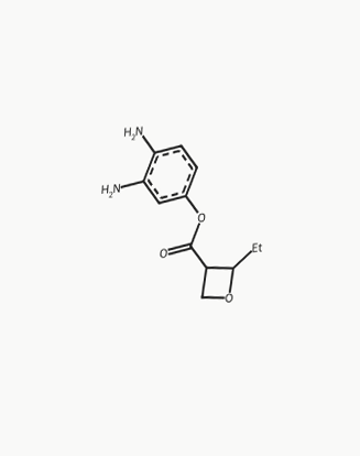 CCC1OCC1C(=O)Oc1ccc(N)c(N)c1